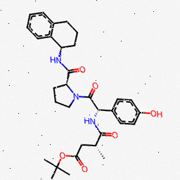 C[C@H](CC(=O)OC(C)(C)C)C(=O)N[C@H](C(=O)N1CCC[C@H]1C(=O)N[C@@H]1CCCc2ccccc21)c1ccc(O)cc1